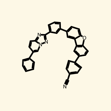 N#Cc1ccc(-c2ccc3oc4ccc(-c5cccc(-c6nc7ccc(-c8ccccc8)cn7n6)c5)cc4c3c2)cc1